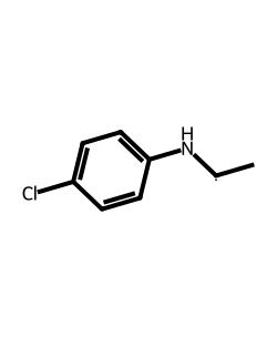 C[CH]Nc1ccc(Cl)cc1